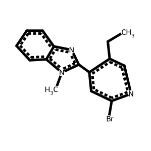 CCc1cnc(Br)cc1-c1nc2ccccc2n1C